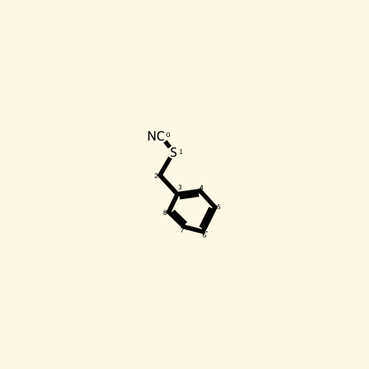 N#CSCc1cc[c]cc1